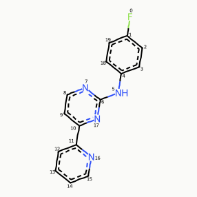 Fc1ccc(Nc2nccc(-c3ccccn3)n2)cc1